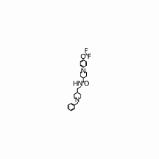 O=C(NCCC1CCN(Cc2ccccc2)CC1)C1CCN(c2ccc(OC(F)F)cc2)CC1